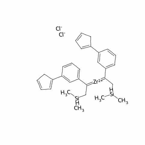 C[SiH](C)C[C](=[Zr+2]=[C](C[SiH](C)C)c1cccc(C2=CC=CC2)c1)c1cccc(C2=CC=CC2)c1.[Cl-].[Cl-]